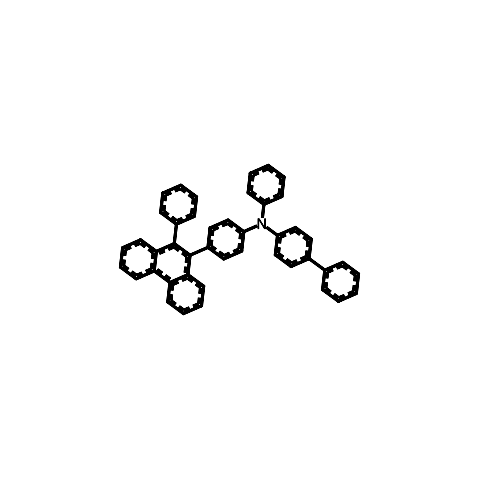 c1ccc(-c2ccc(N(c3ccccc3)c3ccc(-c4c(-c5ccccc5)c5ccccc5c5ccccc45)cc3)cc2)cc1